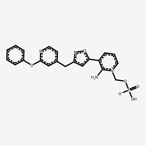 Nc1c(-c2cc(Cc3ccnc(Oc4ccccc4)c3)no2)ccc[n+]1COP(=O)([O-])O